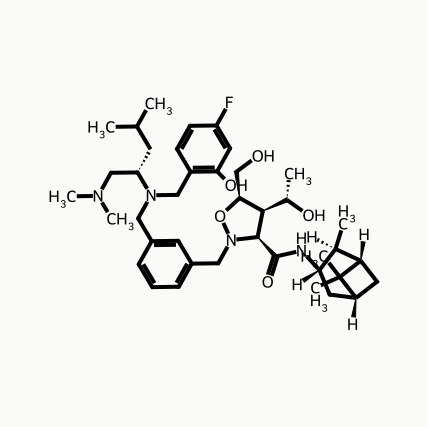 CC(C)C[C@@H](CN(C)C)N(Cc1cccc(CN2O[C@@H](CO)[C@@H]([C@H](C)O)[C@H]2C(=O)N[C@H]2C[C@H]3C[C@@H]([C@@H]2C)C3(C)C)c1)Cc1ccc(F)cc1O